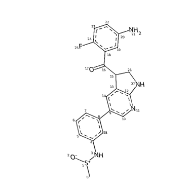 C[S+]([O-])Nc1cccc(-c2cnc3c(c2)C(C(=O)c2cc(N)ccc2F)CN3)c1